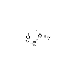 Cc1cc(C(=O)Nc2cccc(C#Cc3cc(C(=O)N=S(C)(=O)c4ccc(CCC(=O)O)cc4)cnc3N)c2)n(C)n1